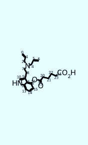 C=CCN(CC=C)CCc1c[nH]c2cccc(OC(=O)CCCCC(=O)O)c12